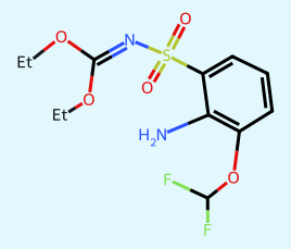 CCOC(=NS(=O)(=O)c1cccc(OC(F)F)c1N)OCC